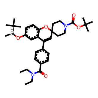 CCN(CC)C(=O)c1ccc(C2=CC3(CCN(C(=O)OC(C)(C)C)CC3)Oc3ccc(O[SiH](C)C(C)(C)C)cc32)cc1